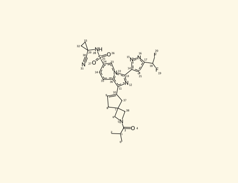 CC(C)C(=O)N1CC2(CC=C(c3nc(-c4nnc(C(F)F)s4)n4cc(S(=O)(=O)NC5(C#N)CC5)ccc34)C2)C1